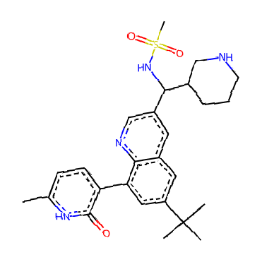 Cc1ccc(-c2cc(C(C)(C)C)cc3cc(C(NS(C)(=O)=O)C4CCCNC4)cnc23)c(=O)[nH]1